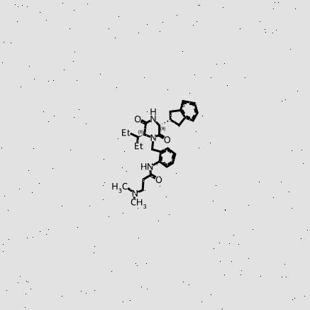 CCC(CC)[C@@H]1C(=O)N[C@H](C2Cc3ccccc3C2)C(=O)N1Cc1ccccc1NC(=O)CCN(C)C